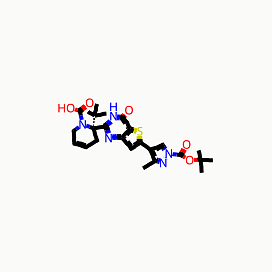 Cc1nn(C(=O)OC(C)(C)C)cc1-c1cc2nc([C@@]3(C(C)(C)C)CC=CCN3C(=O)O)[nH]c(=O)c2s1